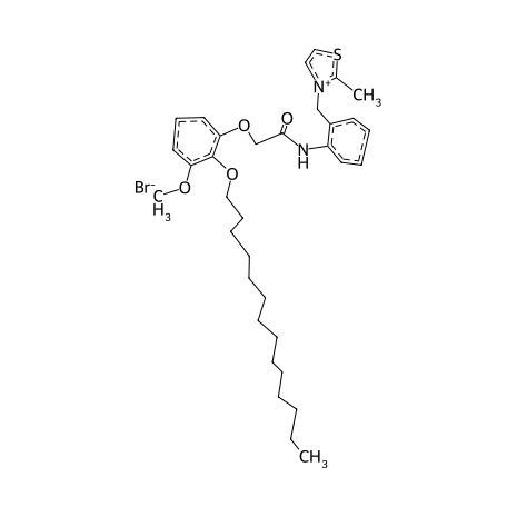 CCCCCCCCCCCCCCOc1c(OC)cccc1OCC(=O)Nc1ccccc1C[n+]1ccsc1C.[Br-]